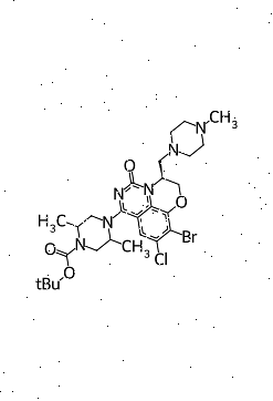 CC1CN(c2nc(=O)n3c4c(c(Br)c(Cl)cc24)OC[C@@H]3CN2CCN(C)CC2)C(C)CN1C(=O)OC(C)(C)C